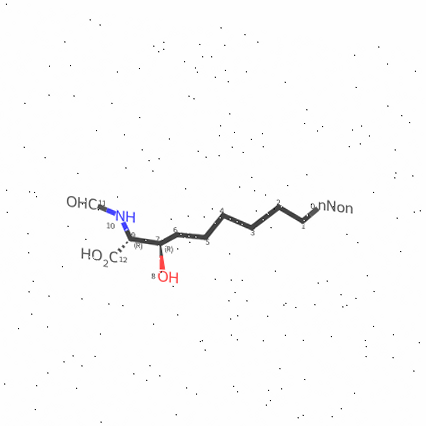 CCCCCCCCCCCCCCC[C@@H](O)[C@@H](NC=O)C(=O)O